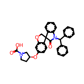 O=C(O)N1CC[C@H](Oc2ccc3c(c2)OCC32C(=O)N(C(c3ccccc3)c3ccccc3)c3ccccc32)C1